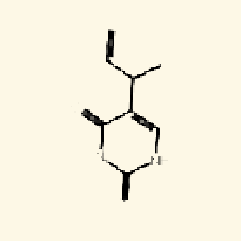 C=CC(C)c1c[nH]c(=O)[nH]c1=O